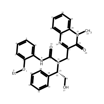 CCOc1ccccc1NC(=O)N(Cc1nc2ccccc2n(C)c1=O)[C@H](CO)c1ccccc1